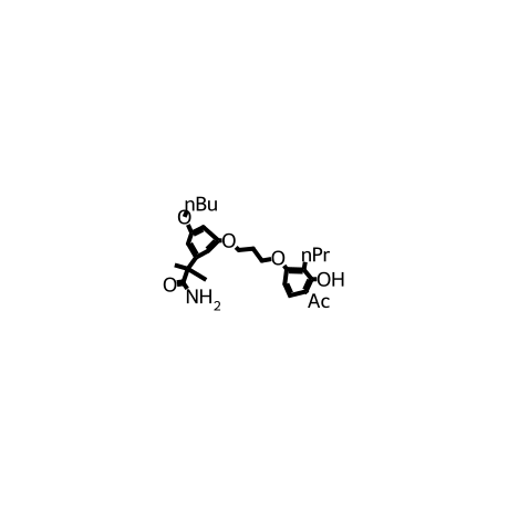 CCCCOc1cc(OCCCOc2ccc(C(C)=O)c(O)c2CCC)cc(C(C)(C)C(N)=O)c1